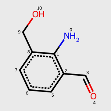 Nc1c(C=O)cccc1CO